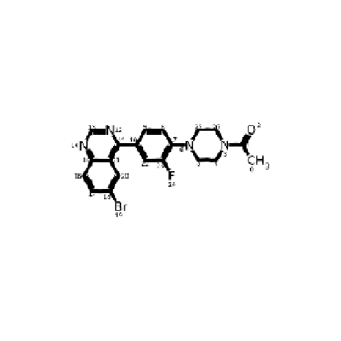 CC(=O)N1CCN(c2ccc(-c3ncnc4ccc(Br)cc34)cc2F)CC1